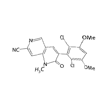 COc1cc(OC)c(Cl)c(-c2cc3cnc(C#N)cc3n(C)c2=O)c1Cl